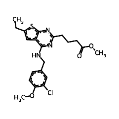 CCc1cc2c(NCc3ccc(OC)c(Cl)c3)nc(CCCC(=O)OC)nc2s1